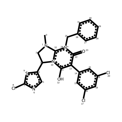 CN1CC(c2cnc(Cl)s2)n2c(O)c(-c3cc(Cl)cc(Cl)c3)c(=O)[n+](Cc3ccccc3)c21